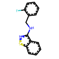 Fc1ccccc1CNc1nsc2ccccc12